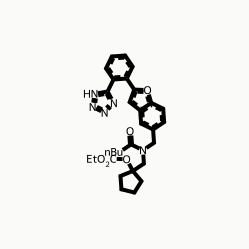 CCCCC(=O)N(Cc1ccc2oc(-c3ccccc3-c3nnn[nH]3)cc2c1)CC1(OC(=O)OCC)CCCC1